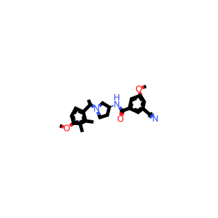 COc1cc(C#N)cc(C(=O)N[C@@H]2CCN(C(C)c3ccc(OC)c(C)c3C)C2)c1